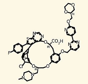 CC1=C2C#CC(Cl)C(=C1Cl)O[C@H](CN1CCN(C)CC1)COc1ccc(OCc3ccnc(-c4ccc(OC[C@@H]5COCCO5)nc4)n3)c(c1)C[C@H](C(=O)O)Oc1ncnc3sc(-c4ccc(F)cc4)c2c13